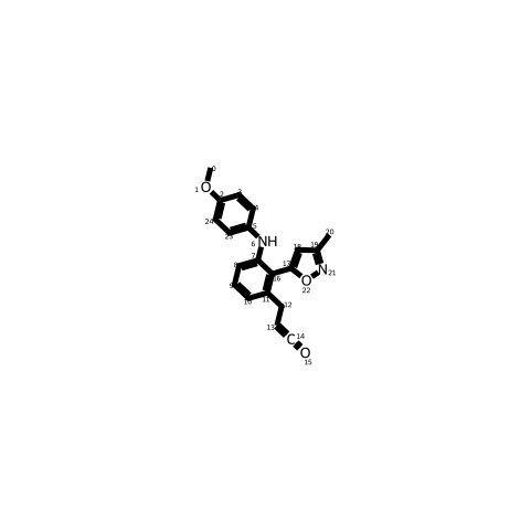 COc1ccc(Nc2cccc(CC=C=O)c2-c2cc(C)no2)cc1